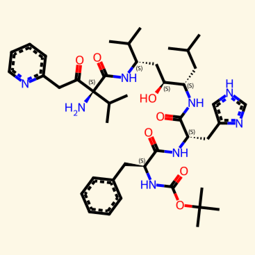 CC(C)C[C@H](NC(=O)[C@H](Cc1c[nH]cn1)NC(=O)[C@H](Cc1ccccc1)NC(=O)OC(C)(C)C)[C@@H](O)C[C@H](NC(=O)[C@@](N)(C(=O)Cc1ccccn1)C(C)C)C(C)C